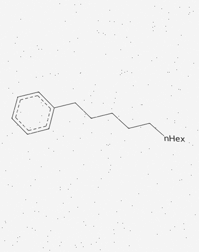 [CH2]CCCCCCCCCCc1ccccc1